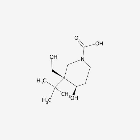 CC(C)(C)[C@]1(CO)CN(C(=O)O)CC[C@H]1O